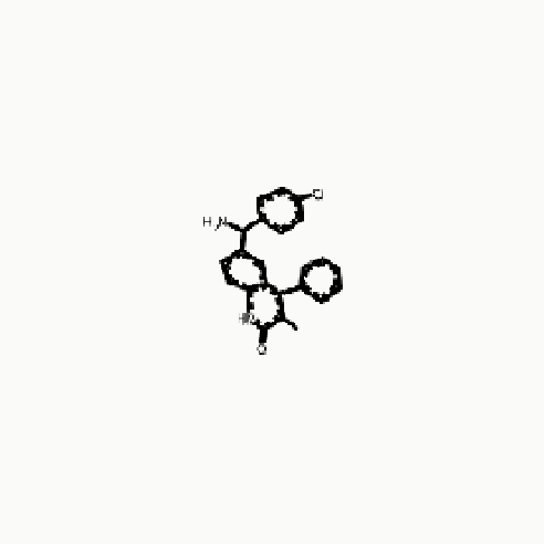 Cc1c(-c2ccccc2)c2cc(C(N)c3ccc(Cl)cc3)ccc2[nH]c1=O